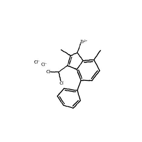 CC1=C(C(Cl)Cl)c2c(-c3ccccc3)ccc(C)c2[CH]1[Zr+2].[Cl-].[Cl-]